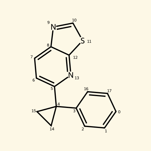 c1ccc(C2(c3ccc4ncsc4n3)CC2)cc1